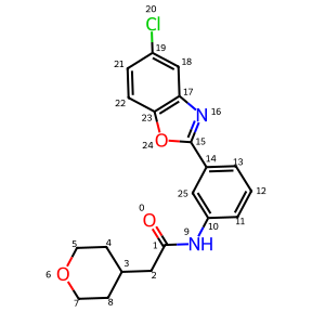 O=C(CC1CCOCC1)Nc1cccc(-c2nc3cc(Cl)ccc3o2)c1